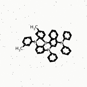 Cc1cccc(N2c3cc(C)ccc3B3c4c2cccc4N(c2ccccc2)c2cc(N(c4ccccc4)c4ccccc4)c4ccccc4c23)c1